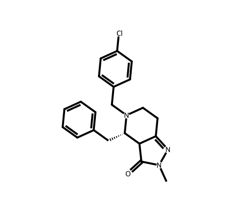 CN1N=C2CCN(Cc3ccc(Cl)cc3)[C@@H](Cc3ccccc3)C2C1=O